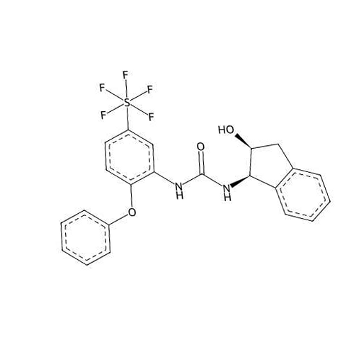 O=C(Nc1cc(S(F)(F)(F)(F)F)ccc1Oc1ccccc1)N[C@@H]1c2ccccc2C[C@@H]1O